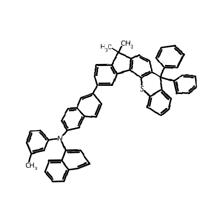 Cc1cccc(N(c2ccc3cc(-c4ccc5c(c4)-c4c(ccc6c4Sc4ccccc4C6(c4ccccc4)c4ccccc4)C5(C)C)ccc3c2)c2cccc3ccccc23)c1